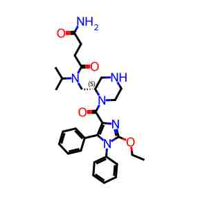 CCOc1nc(C(=O)N2CCNC[C@H]2CN(C(=O)CCC(N)=O)C(C)C)c(-c2ccccc2)n1-c1ccccc1